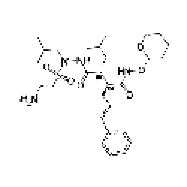 CC(C)C[C@@H](C(=O)NN(CC(C)C)S(=O)(=O)CCN)[C@H](CC=Cc1ccccc1)C(=O)NOC1CCCCO1